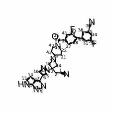 N#CCC1(n2cc(-c3ncnc4[nH]ccc34)cn2)CN(C2CCN(C(=O)c3ccc(-c4cc(F)cc(C#N)c4)c(F)c3)CC2)C1